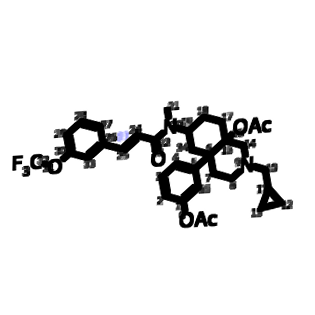 CC(=O)Oc1cccc(C23CCN(CC4CC4)CC2(OC(C)=O)CCC(N(C)C(=O)/C=C/c2cccc(OC(F)(F)F)c2)C3)c1